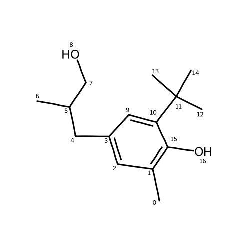 Cc1cc(CC(C)CO)cc(C(C)(C)C)c1O